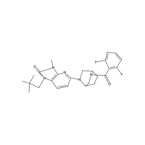 Cn1c(=O)n(CC(C)(C)C)c2ccc(N3CC4CCC3CN4C(=O)c3c(F)cccc3F)nc21